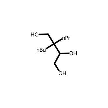 [CH2]CCC(CO)(CCCC)C(O)CO